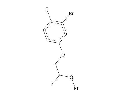 CCOC(C)COc1ccc(F)c(Br)c1